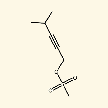 CC(C)C#CCOS(C)(=O)=O